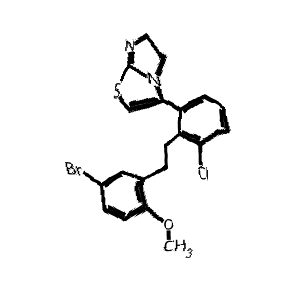 COc1ccc(Br)cc1CCc1c(Cl)cccc1C1=CSC2=NCCN12